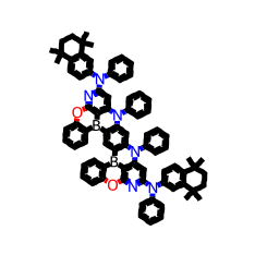 CC1(C)CCC(C)(C)c2cc(N(c3ccccc3)c3cc4c5c(n3)Oc3ccccc3B5c3cc5c(cc3N4c3ccccc3)N(c3ccccc3)c3cc(N(c4ccccc4)c4ccc6c(c4)C(C)(C)CCC6(C)C)nc4c3B5c3ccccc3O4)ccc21